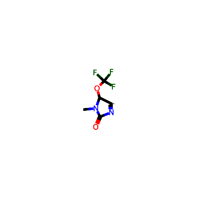 CN1C(=O)N=[C]C1OC(F)(F)F